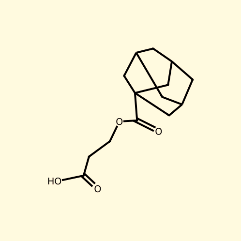 O=C(O)CCOC(=O)C12CC3CC(CC(C3)C1)C2